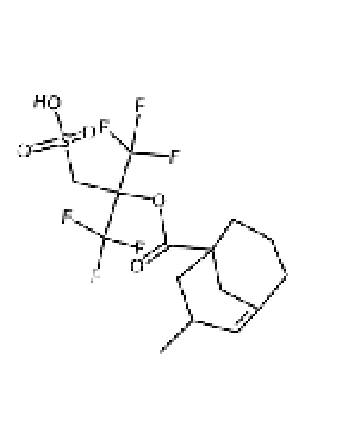 CC1C=C2CCCC(C(=O)OC(CS(=O)(=O)O)(C(F)(F)F)C(F)(F)F)(C2)C1